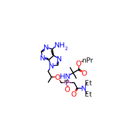 CCCOC(=O)C(C)(C)N[P@](=O)(COC(C)Cn1cnc2c(N)ncnc21)CC(=O)N(CC)CC